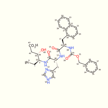 CC(C)C[C@H](NC(=O)[C@@H](Cc1c[nH]cn1)NC(=O)[C@@H](Cc1cccc2ccccc12)NC(=O)OCc1ccccc1)[C@@H](O)CC(=O)O